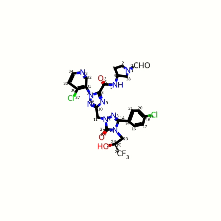 O=CN1CCC(NC(=O)c2nc(Cn3nc(-c4ccc(Cl)cc4)n(C[C@H](O)C(F)(F)F)c3=O)nn2-c2cnccc2Cl)C1